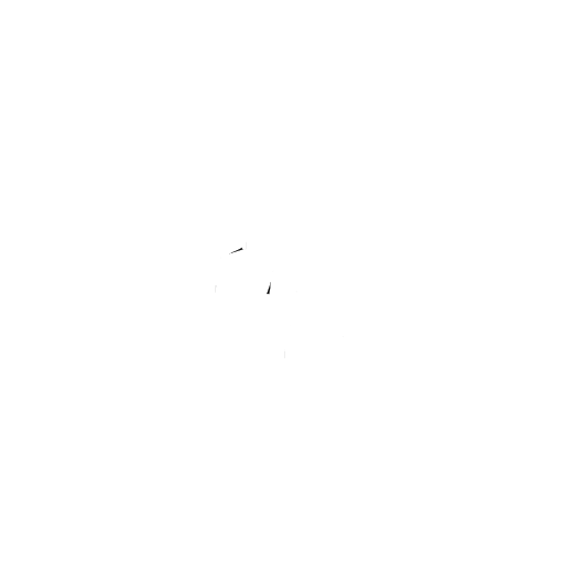 CC[C@]12CC[C@@](C)(O)C[C@H]1CC[C@H]1[C@@H]3CCC[C@@]3(C)CC[C@@H]12